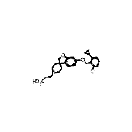 O=C(O)CCN1CCC2(CC1)COc1cc(OCc3c(Cl)cccc3C3CC3)ccc12